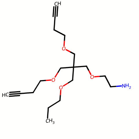 C#CCCOCC(COCCC)(COCCN)COCCC#C